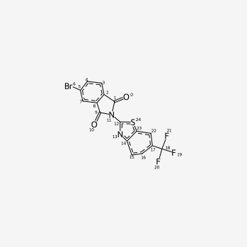 O=C1c2ccc(Br)cc2C(=O)N1c1nc2ccc(C(F)(F)F)cc2s1